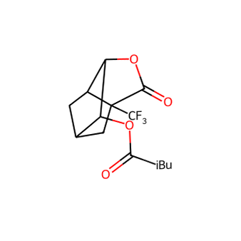 CCC(C)C(=O)OC1C2CC3C1OC(=O)C3(C(F)(F)F)C2